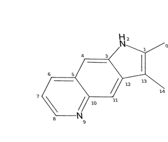 Cc1[nH]c2cc3cccnc3cc2c1C